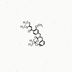 COc1cc(CN(Cc2ccccc2)C(=O)OC(C)(C)C)ccc1C(=O)C=C(SC)SC